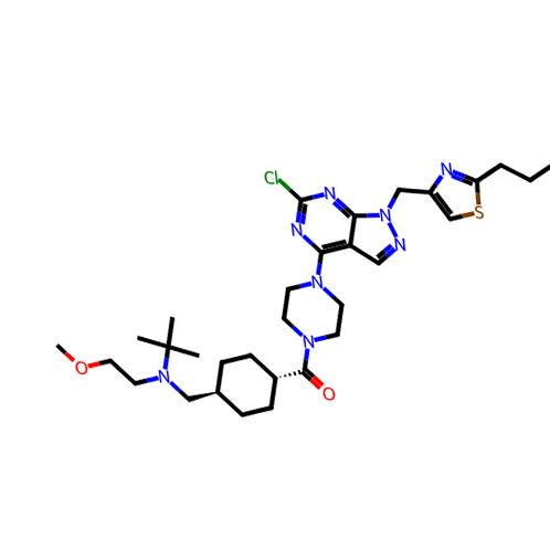 CCCc1nc(Cn2ncc3c(N4CCN(C(=O)[C@H]5CC[C@H](CN(CCOC)C(C)(C)C)CC5)CC4)nc(Cl)nc32)cs1